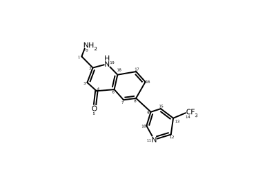 NCc1cc(=O)c2cc(-c3cncc(C(F)(F)F)c3)ccc2[nH]1